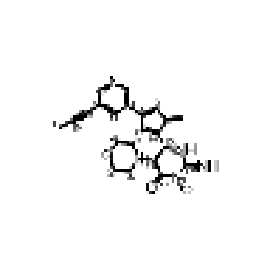 C=C1C=C(c2cncc(C#CC)c2)C=C1[C@H]1NC(=N)N(C)C(=O)C1N1CCOCC1